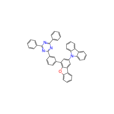 c1ccc(-c2nc(-c3ccccc3)nc(-c3cccc(-c4cc(-n5c6ccccc6c6ccccc65)cc5c4oc4ccccc45)c3)n2)cc1